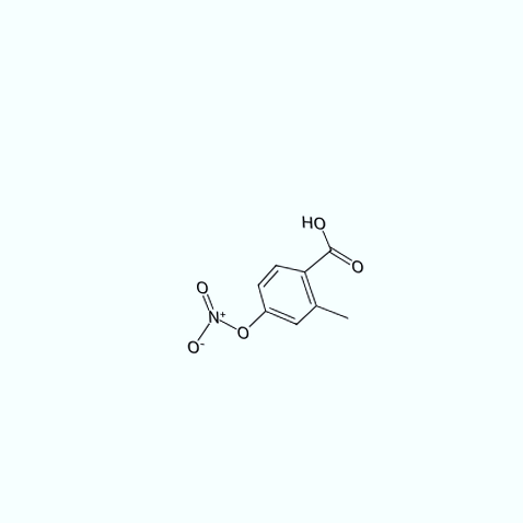 Cc1cc(O[N+](=O)[O-])ccc1C(=O)O